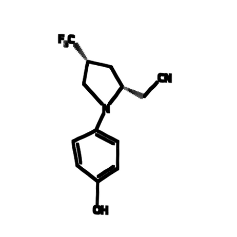 N#CC[C@H]1C[C@@H](C(F)(F)F)CN1c1ccc(O)cc1